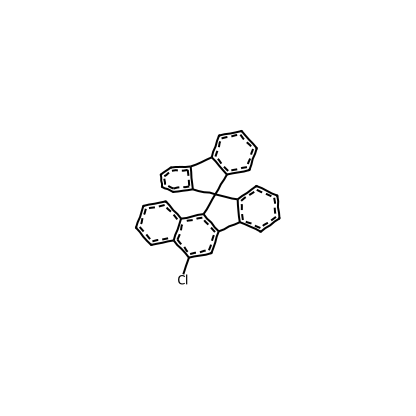 Clc1cc2c(c3ccccc13)C1(c3ccccc3-c3ccccc31)c1ccccc1-2